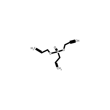 C#CCOP(=O)(CC=C)OCC=C